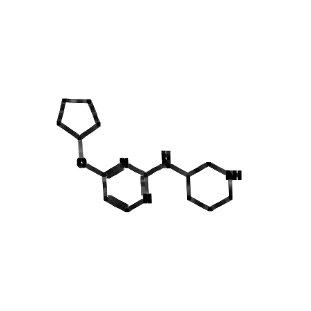 c1cc(OC2CCCC2)nc(NC2CCCNC2)n1